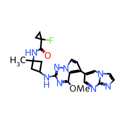 COc1nc(NC2CC(C)(NC(=O)C3(F)CC3)C2)nn2ccc(-c3cnc4nccn4c3)c12